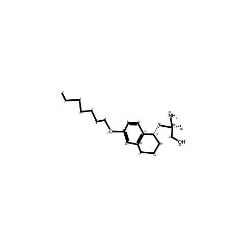 CCCCCCCOc1ccc2c(c1)CCC[C@H]2C[C@@](C)(N)CO